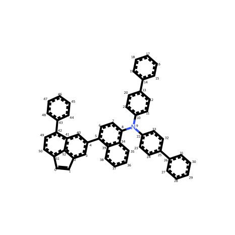 C1=Cc2cc(-c3ccc(N(c4ccc(-c5ccccc5)cc4)c4ccc(-c5ccccc5)cc4)c4ccccc34)cc3c(-c4ccccc4)ccc1c23